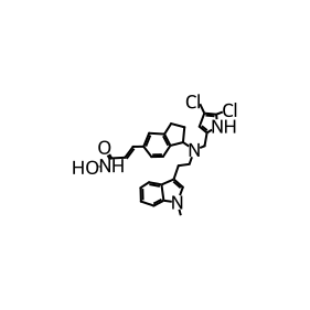 Cn1cc(CCN(Cc2cc(Cl)c(Cl)[nH]2)C2CCc3cc(C=CC(=O)NO)ccc32)c2ccccc21